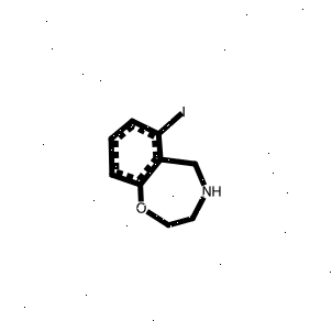 Ic1cccc2c1CNCCO2